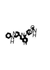 CNC(=O)N1CCN(c2nc(-c3ccnc(NC4CCCCC4)c3)cc3cnccc23)CC1